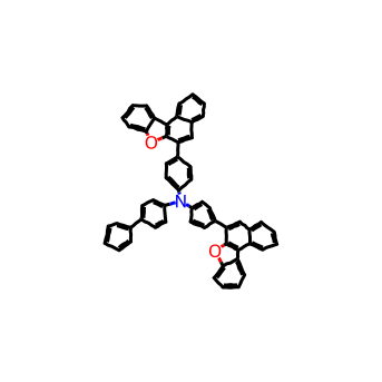 c1ccc(-c2ccc(N(c3ccc(-c4cc5ccccc5c5c4oc4ccccc45)cc3)c3ccc(-c4cc5ccccc5c5c4oc4ccccc45)cc3)cc2)cc1